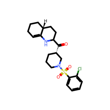 O=C(C1CC[C@H]2CCCC=C2N1)[C@H]1CCCN(S(=O)(=O)c2ccccc2Cl)C1